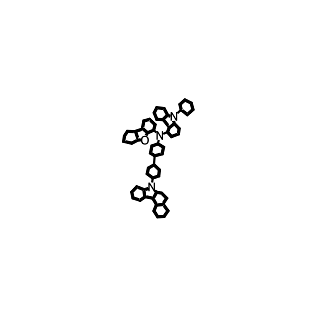 c1ccc(-n2c3ccccc3c3c(N(c4ccc(-c5ccc(-n6c7ccccc7c7c8ccccc8ccc76)cc5)cc4)c4cccc5c4oc4ccccc45)cccc32)cc1